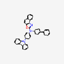 c1ccc(-c2ccc(N(c3ccc(-n4c5ccccc5c5ccccc54)cc3)c3nc4c(ccc5ccccc54)o3)cc2)cc1